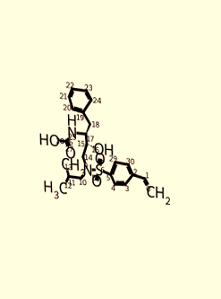 C=Cc1ccc(S(=O)(=O)N(CC(C)C)C[C@@H](O)[C@H](Cc2ccccc2)NC(=O)O)cc1